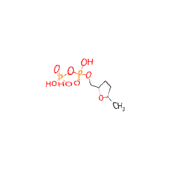 CC1CCC(COP(=O)(O)OP(=O)(O)O)O1